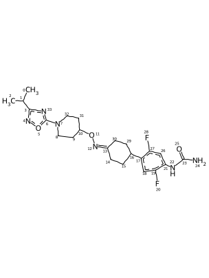 CC(C)c1noc(N2CCC(ON=C3CCC(c4cc(F)c(NC(N)=O)cc4F)CC3)CC2)n1